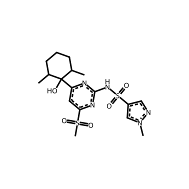 CC1CCCC(C)C1(O)c1cc(S(C)(=O)=O)nc(NS(=O)(=O)c2cnn(C)c2)n1